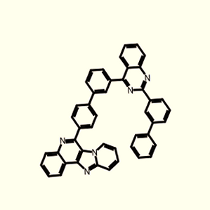 c1ccc(-c2cccc(-c3nc(-c4cccc(-c5ccc(-c6nc7ccccc7c7nc8ccccn8c67)cc5)c4)c4ccccc4n3)c2)cc1